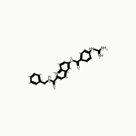 N=C(N)Nc1ccc(C(=O)Oc2ccc3nc(C(=O)NCc4ccccc4)ccc3c2)cc1